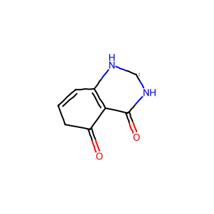 O=C1CC=CC2=C1C(=O)N[C]N2